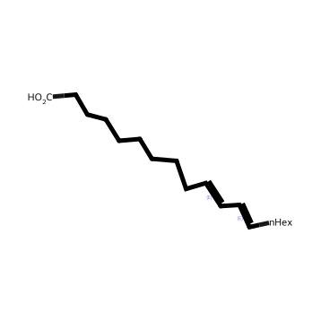 CCCCCC/C=C/C=C/CCCCCCCCC(=O)O